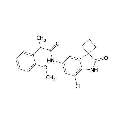 COc1ccccc1C(C)C(=O)Nc1cc(Cl)c2c(c1)C1(CCC1)C(=O)N2